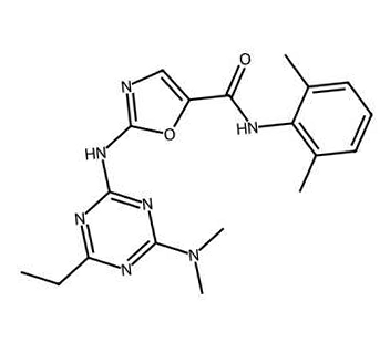 CCc1nc(Nc2ncc(C(=O)Nc3c(C)cccc3C)o2)nc(N(C)C)n1